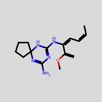 C=C(OC)/C(=C\C=C/C)NC1=NC(N)=NC2(CCCC2)N1